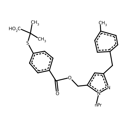 CCCn1nc(Cc2ccc(C)cc2)cc1COC(=O)c1ccc(SC(C)(C)C(=O)O)cc1